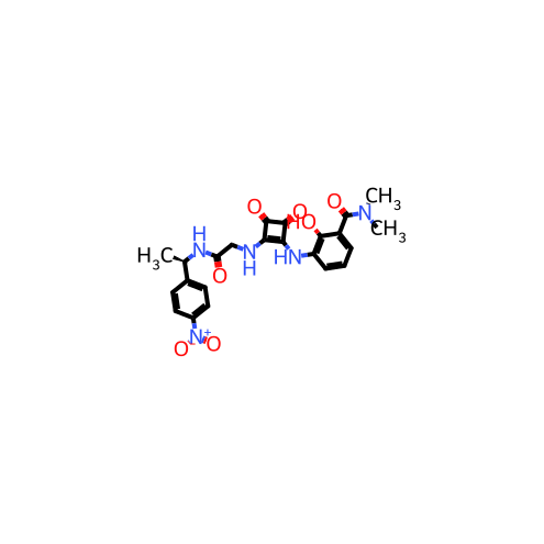 C[C@@H](NC(=O)CNc1c(Nc2cccc(C(=O)N(C)C)c2O)c(=O)c1=O)c1ccc([N+](=O)[O-])cc1